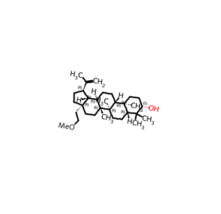 C=C(C)[C@@H]1CC[C@]2(CCOC)CC[C@]3(C)[C@H](CC[C@@H]4[C@@]5(C)CC[C@H](O)C(C)(C)[C@@H]5CC[C@]43C)[C@@H]12